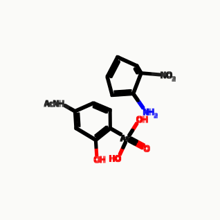 CC(=O)Nc1ccc([As](=O)(O)O)c(O)c1.Nc1ccccc1[N+](=O)[O-]